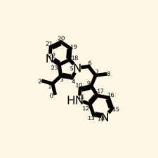 CC(C)c1cn(CC(C)c2c[nH]c3cnccc23)c2cccnc12